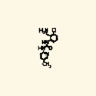 Cc1ccc(NC(=O)Nc2cccc(Cl)c2CN)nc1